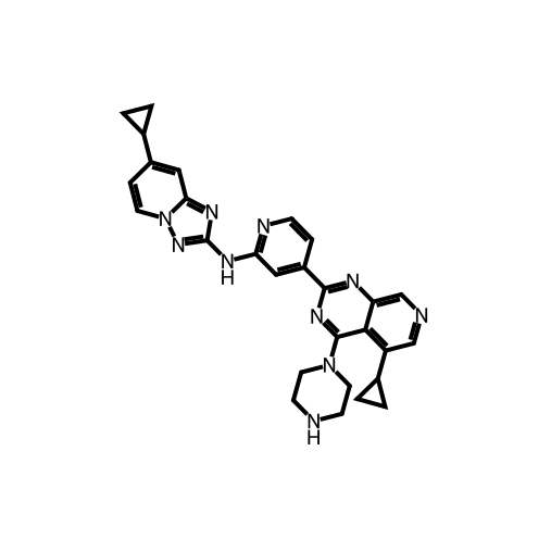 c1cc(-c2nc(N3CCNCC3)c3c(C4CC4)cncc3n2)cc(Nc2nc3cc(C4CC4)ccn3n2)n1